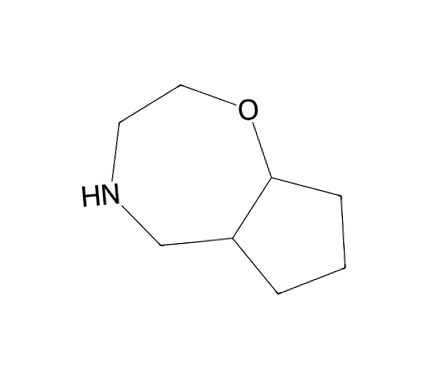 C1CC2CNCCOC2C1